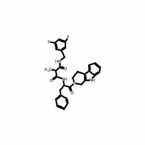 CC(C(=O)NCc1cc(F)cc(F)c1)C(=O)NC(Cc1ccccc1)C(=O)N1CCc2c([nH]c3ccccc23)C1